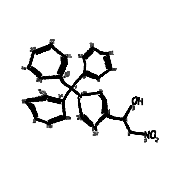 O=[N+]([O-])CC(O)c1cn(C(c2ccccc2)(c2ccccc2)c2ccccc2)cn1